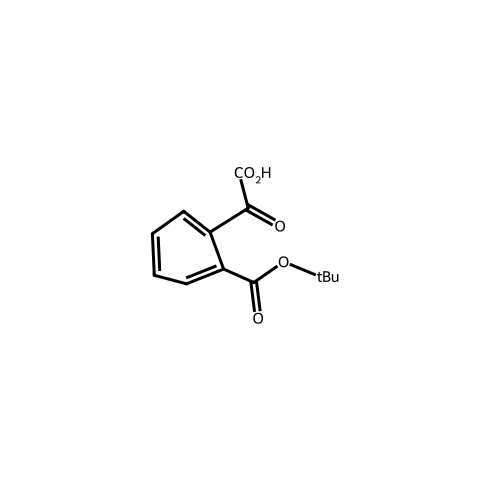 CC(C)(C)OC(=O)c1ccccc1C(=O)C(=O)O